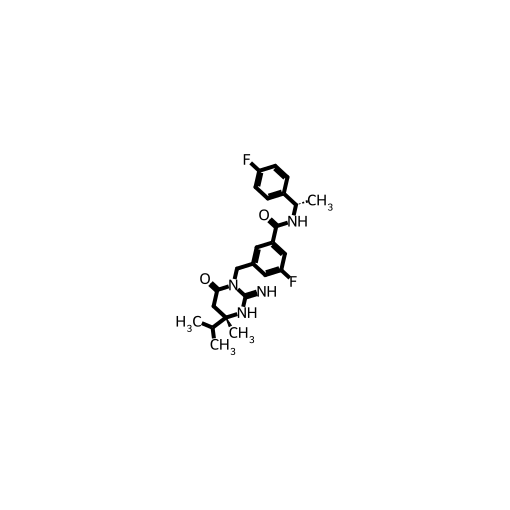 CC(C)[C@]1(C)CC(=O)N(Cc2cc(F)cc(C(=O)N[C@@H](C)c3ccc(F)cc3)c2)C(=N)N1